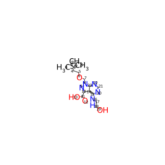 C[Si](C)(C)CCOCn1nc(C(=O)O)c2c(NCCO)ncnc21